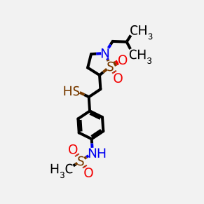 CC(C)CN1CCC(CC(S)c2ccc(NS(C)(=O)=O)cc2)S1(=O)=O